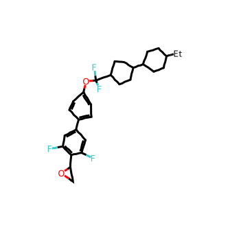 CCC1CCC(C2CCC(C(F)(F)Oc3ccc(-c4cc(F)c(C5CO5)c(F)c4)cc3)CC2)CC1